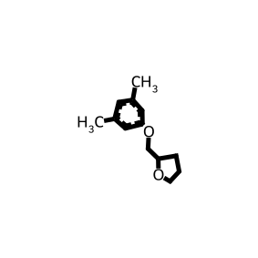 Cc1cc(C)cc(OCC2CCCO2)c1